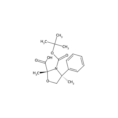 CC(C)(C)OC(=O)N1[C@@](C)(C(=O)O)OC[C@]1(C)c1ccccc1